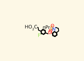 CCCS(=O)(=O)N1CCCc2cccc(OCc3ccc(CCC(=O)O)c(F)c3)c21